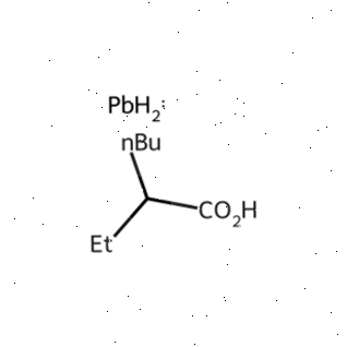 CCCCC(CC)C(=O)O.[PbH2]